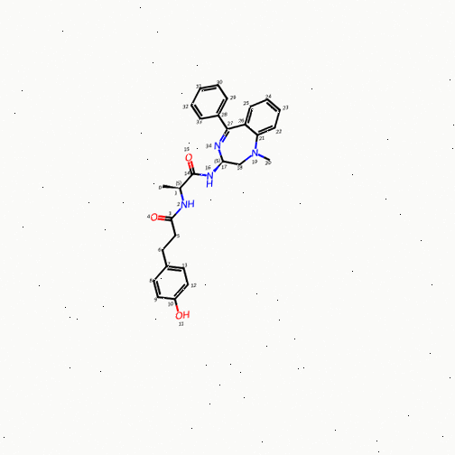 C[C@H](NC(=O)CCc1ccc(O)cc1)C(=O)N[C@@H]1CN(C)c2ccccc2C(c2ccccc2)=N1